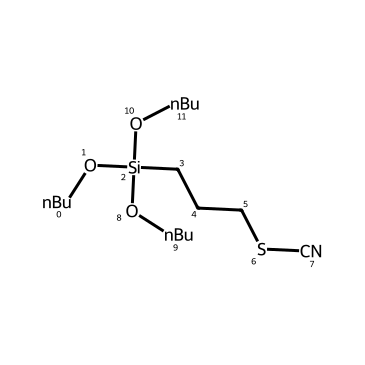 CCCCO[Si](CCCSC#N)(OCCCC)OCCCC